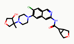 CC1(N2CCN(c3cc4cc(NC(=O)C5C6COCC65)ncc4cc3Cl)CC2)COCC1O